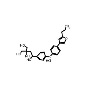 CCCc1nc(-c2ccc(Sc3ccc(C(O)CC(N)(CO)CO)cc3)cc2)co1.Cl